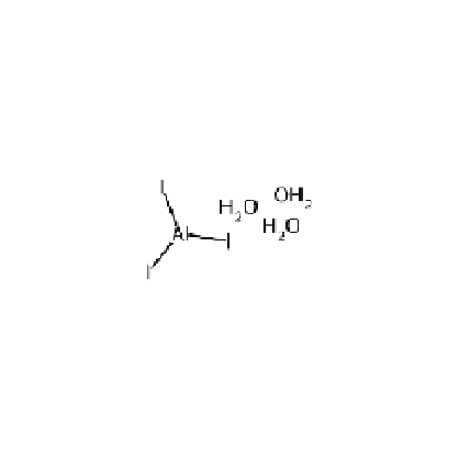 O.O.O.[I][Al]([I])[I]